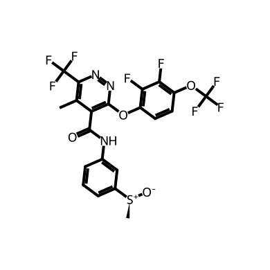 Cc1c(C(F)(F)F)nnc(Oc2ccc(OC(F)(F)F)c(F)c2F)c1C(=O)Nc1cccc([S@+](C)[O-])c1